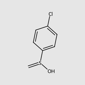 C=S(O)c1ccc(Cl)cc1